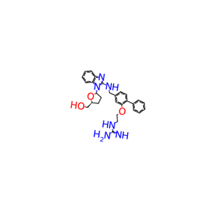 N=C(N)NCCOc1cc(CNc2nc3ccccc3n2[C@H]2CC[C@@H](CO)O2)ccc1-c1ccccc1